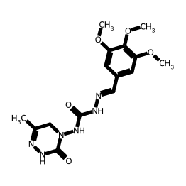 COc1cc(/C=N/NC(=O)NN2CC(C)=NNC2=O)cc(OC)c1OC